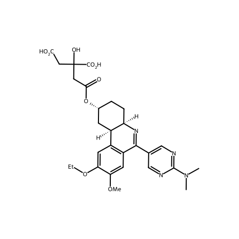 CCOc1cc2c(cc1OC)C(c1cnc(N(C)C)nc1)=N[C@@H]1CC[C@@H](OC(=O)CC(O)(CC(=O)O)C(=O)O)C[C@H]21